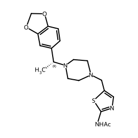 CC(=O)Nc1ncc(CN2CCN([C@H](C)c3ccc4c(c3)OCO4)CC2)s1